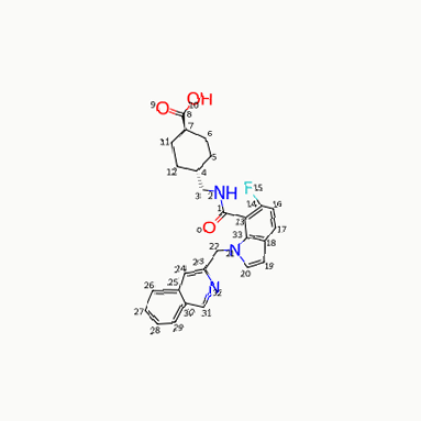 O=C(NC[C@H]1CC[C@H](C(=O)O)CC1)c1c(F)ccc2ccn(Cc3cc4ccccc4cn3)c12